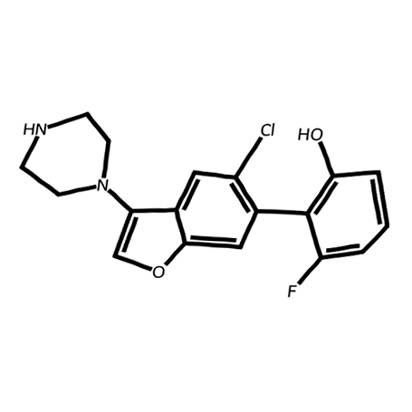 Oc1cccc(F)c1-c1cc2occ(N3CCNCC3)c2cc1Cl